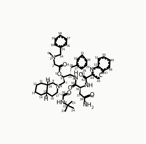 CN(CC(=O)O[C@H](CN1C[C@H]2CCCC[C@H]2C[C@H]1C(=O)NC(C)(C)C)[C@H](Cc1ccccc1)NC(=O)[C@H](CC(N)=O)NC(=O)c1ccc2ccccc2n1)Cc1ccccc1